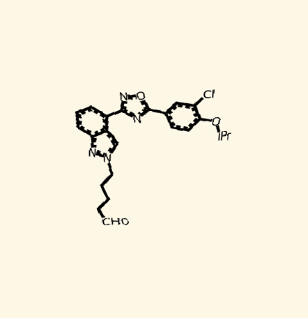 CC(C)Oc1ccc(-c2nc(-c3cccc4nn(CCCCC=O)cc34)no2)cc1Cl